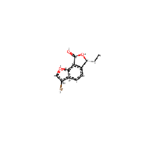 CC[C@H]1OC(=O)c2c1ccc1c(Br)coc21